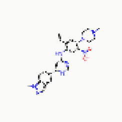 C=Cc1cc(N2CCN(C)CC2)c([N+](=O)[O-])cc1Nc1cc(-c2ccc3c(cnn3C)c2)ncn1